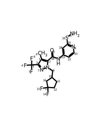 Cc1c(C(F)(F)F)nn(CC2CCC(F)(F)C2)c1C(=O)Nc1ccnc(SN)c1